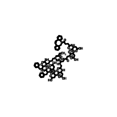 CC/C(N)=C/N(N)CCCCC(NC(=O)C(Cc1ccccc1)NC(=O)C(Cc1ccccc1)NC(=O)C(CC(=O)O)NC(=O)C(CC(=O)O)NC(=O)C(CC(=O)O)NC(=O)CNC(=O)CNC(=O)CNC(=O)C(CC(=O)O)NC(=O)C(CC(=O)O)NC(=O)CCC(=O)N1Cc2ccccc2C#Cc2ccccc21)C(N)=O